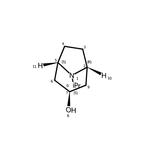 CC(C)N1[C@@H]2CC[C@H]1C[C@H](O)C2